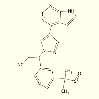 CC(C)([S+]=O)c1cncc(C(CC#N)n2cc(-c3ncnc4[nH]ccc34)cn2)c1